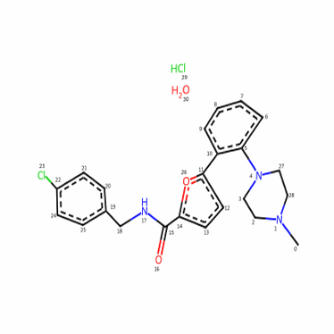 CN1CCN(c2ccccc2-c2ccc(C(=O)NCc3ccc(Cl)cc3)o2)CC1.Cl.O